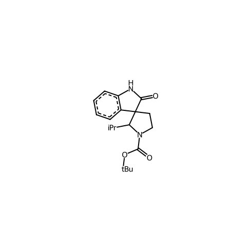 CC(C)C1N(C(=O)OC(C)(C)C)CCC12C(=O)Nc1ccccc12